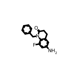 Nc1cc(F)c2c(c1)CCC(=O)N2Cc1ccccc1